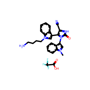 Cn1cc(-n2c(-c3cn(CCCCN)c4ccccc34)c(C#N)[nH]c2=O)c2ccccc21.O=C(O)C(F)(F)F